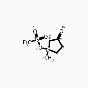 CS1(OS(=O)(=O)C(F)(F)F)CCC(=O)C1